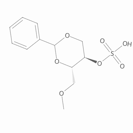 COC[C@@H]1OC(c2ccccc2)OC[C@H]1OS(=O)(=O)O